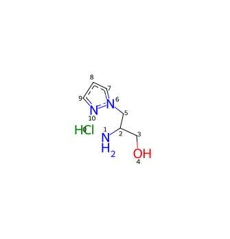 Cl.NC(CO)Cn1cccn1